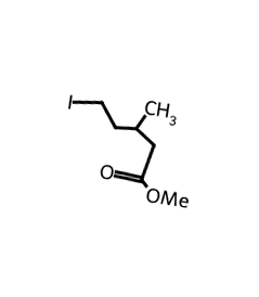 COC(=O)CC(C)CCI